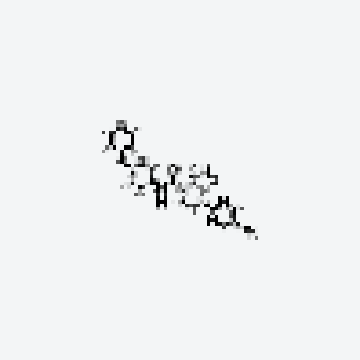 C[C@H]1CN(c2ncc(C#N)cn2)CCN1C(=O)NC1CCN(Cc2ccccc2)CC1